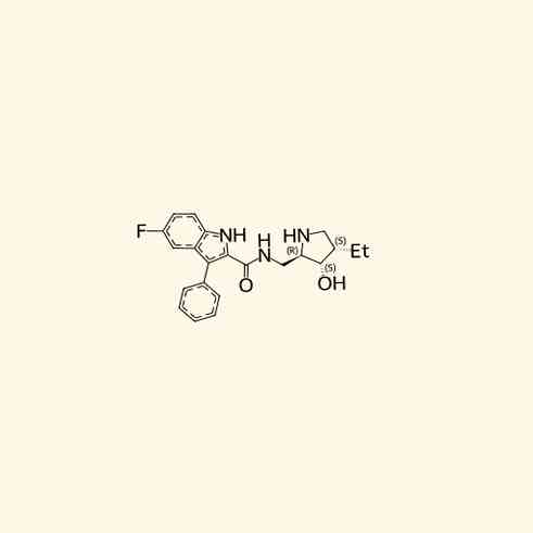 CC[C@H]1CN[C@H](CNC(=O)c2[nH]c3ccc(F)cc3c2-c2ccccc2)[C@H]1O